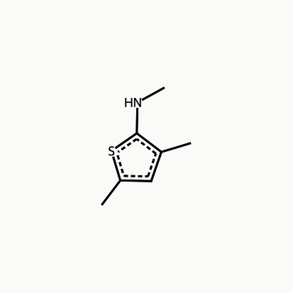 CNc1sc(C)cc1C